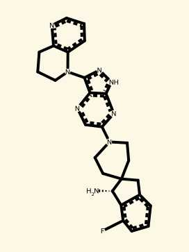 N[C@H]1c2c(F)cccc2CC12CCN(c1cnc3c(N4CCCc5ncccc54)n[nH]c3n1)CC2